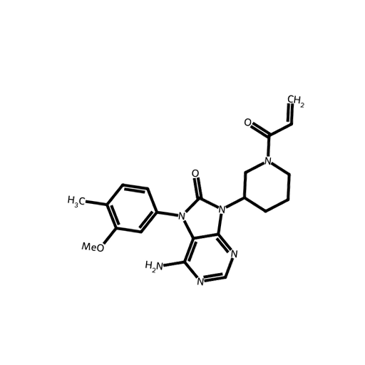 C=CC(=O)N1CCCC(n2c(=O)n(-c3ccc(C)c(OC)c3)c3c(N)ncnc32)C1